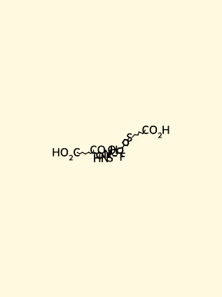 O=C(O)CCCCCSc1ccc(-c2ccc(C=C3SC(Nc4ccc(C(CCCCCC(=O)O)C(=O)O)cc4)=NC3=O)c(F)c2)cc1